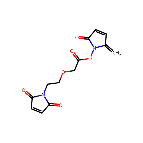 C=C1C=CC(=O)N1OC(=O)COCCN1C(=O)C=CC1=O